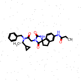 C[C@@H](C1CC1)N(Cc1ccccc1)C(=O)CN1C(=O)NC2(CCc3cc(NC(=O)CC#N)ccc32)C1=O